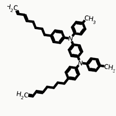 C=C/C=C/CCCCc1ccc(N(c2ccc(C)cc2)c2ccc(N(c3ccc(C)cc3)c3ccc(CCCC/C=C/C=C)cc3)cc2)cc1